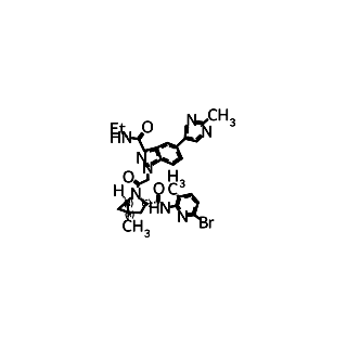 CCNC(=O)c1nn(CC(=O)N2[C@H](C(=O)Nc3nc(Br)ccc3C)C[C@@]3(C)C[C@@H]23)c2ccc(-c3cnc(C)nc3)cc12